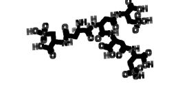 N[C@H](CC(=O)NC(CS(=O)(=O)O)C(=O)O)C(=O)NC(CC(=O)NC(CS(=O)(=O)O)C(=O)O)C(=O)NC(CC(=O)NC(CS(=O)(=O)O)C(=O)O)C(=O)O